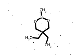 CCC1(CC)COB(C)OC1